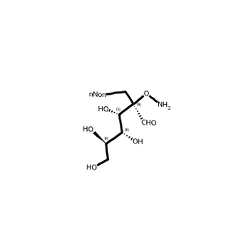 CCCCCCCCCC[C@@](C=O)(ON)[C@@H](O)[C@H](O)[C@H](O)CO